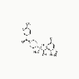 CC(C)(C1CCN(C(=O)c2ccc(C(F)(F)F)nc2)CC1)C(O)c1cc(Cl)cc2cn[nH]c12